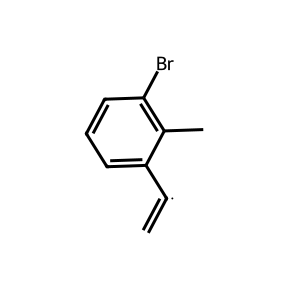 C=[C]c1cccc(Br)c1C